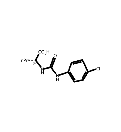 CCC[C@@H](NC(=O)Nc1ccc(Cl)cc1)C(=O)O